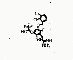 N=C(N)NCc1c(F)ccc(OCc2cccc(Cl)c2Cl)c1F.O=C(O)C(F)(F)F